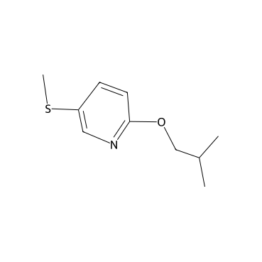 CSc1ccc(OCC(C)C)nc1